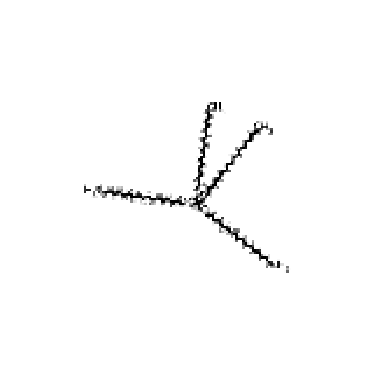 CCCCCCCCCCCCCCCCCCOCC(COCCCCCCCCCCCCCCCCCC)(COCCCCCCCCCCCCCCCCCC)COCCCCCCCCCCCCCCCCCC